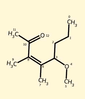 CCCC(OC)C(C)=C(C)C(C)=O